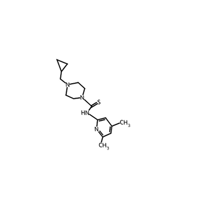 Cc1cc(C)nc(NC(=S)N2CCN(CC3CC3)CC2)c1